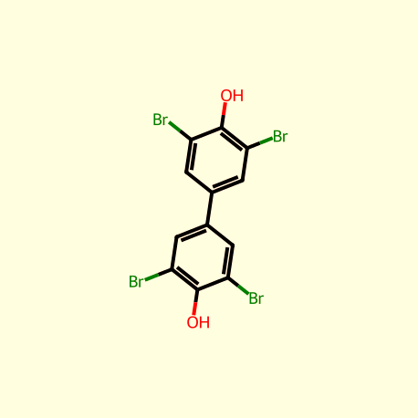 Oc1c(Br)cc(-c2cc(Br)c(O)c(Br)c2)cc1Br